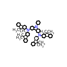 CC1(C)C2=CC(N(c3ccc4c(c3)C(C)(C)c3ccccc3-4)c3ccc4c(c3)c3cc(N(c5ccc6c(c5)C(C)(C)c5ccccc5-6)c5ccc6c(c5)C(C)(C)c5ccccc5-6)ccc3n4-c3ccccc3)=CCC2c2ccccc21